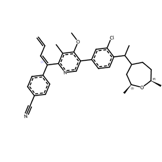 C=C/C=C(/c1ccc(C#N)cc1)c1ncc(-c2ccc(C(C)C3CC[C@@H](C)O[C@@H](C)C3)c(Cl)c2)c(OC)c1C